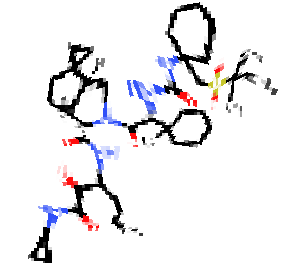 CCCC(NC(=O)[C@@H]1[C@H]2CCC3(CC3)[C@H]2CN1C(=O)[C@@H](NC(=O)NC1(CS(=O)(=O)C(C)(C)C)CCCCC1)C1(C)CCCCC1)C(=O)C(=O)NC1CC1